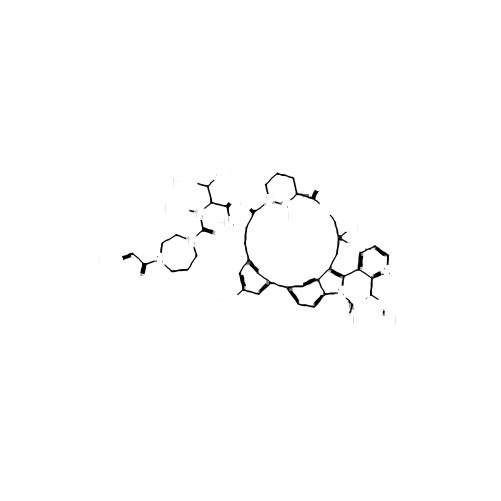 C=CC(=O)N1CCCN(C(=O)N(C)C(C(=O)N[C@H]2Cc3cc(O)cc(c3)-c3ccc4c(c3)c(c(-c3cccnc3[C@H](C)OC)n4CC)CC(C)(C)COC(=O)[C@@H]3CCCN(N3)C2=O)C(C)C)CC1